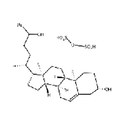 CC(C)C(O)CC[C@@H](C)[C@H]1CC[C@H]2[C@@H]3CC=C4C[C@@H](O)CC[C@]4(C)[C@H]3CC[C@]12C.O=S(=O)(O)OS(=O)(=O)O